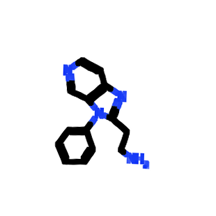 NCCc1nc2ccncc2n1-c1ccccc1